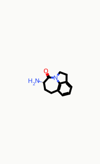 N[C@H]1CCc2cccc3c2N(CC3)C1=O